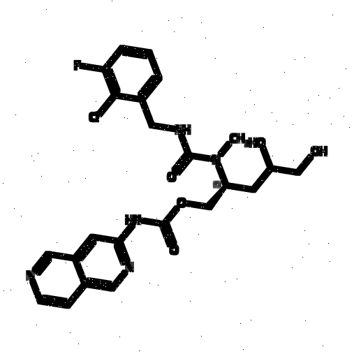 CN(C(=O)NCc1cccc(F)c1Cl)[C@H](COC(=O)Nc1cc2cnccc2cn1)CC(O)CO